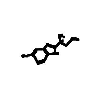 COC[C@H](N)c1nc2cc(C(C)(C)C)ccc2[nH]1